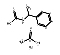 CC(NC(O)=S)c1ccccc1.NC(O)=S.[Pb]